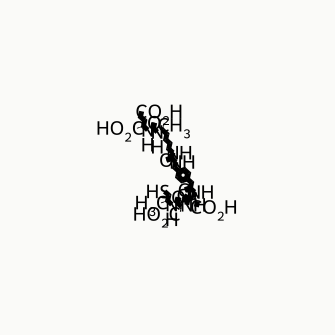 C[C@H](CCCCNC(=O)NCc1ccc(CC(=O)N[C@H](CC(=O)O)C(=O)N[C@H](CC(=O)O)C(=O)N[C@H](C)CS)cc1)NC(=O)N[C@@H](CCC(=O)O)C(=O)O